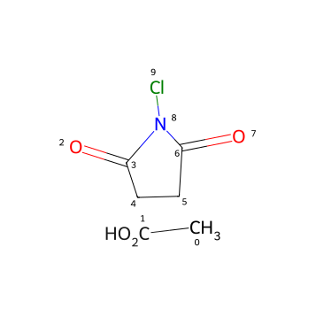 CC(=O)O.O=C1CCC(=O)N1Cl